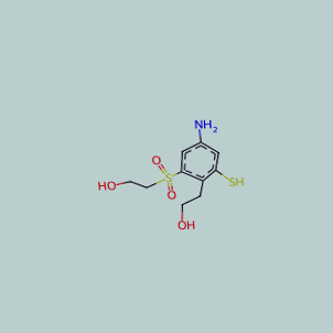 Nc1cc(S)c(CCO)c(S(=O)(=O)CCO)c1